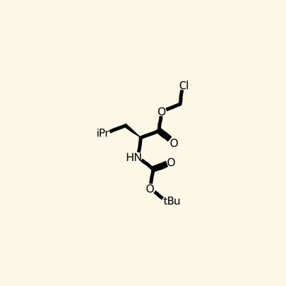 CC(C)C[C@H](NC(=O)OC(C)(C)C)C(=O)OCCl